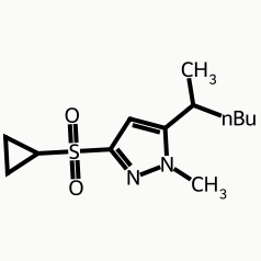 CCCCC(C)c1cc(S(=O)(=O)C2CC2)nn1C